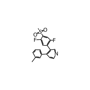 Cc1cccc(-c2ccncc2-c2cc(F)c(S(C)(=O)=O)cc2F)c1